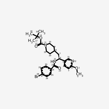 COc1ccc([C@H](CC2CCN(C(=O)OC(C)(C)C)CC2)NC(=O)c2ccc(Br)cc2)cn1